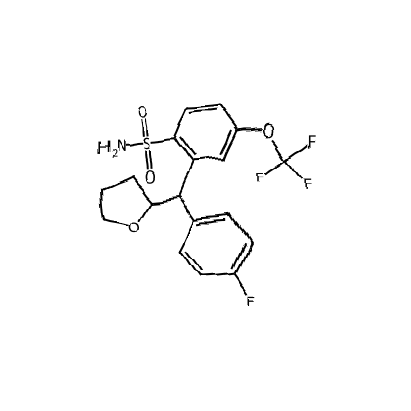 NS(=O)(=O)c1ccc(OC(F)(F)F)cc1C(c1ccc(F)cc1)C1CCCO1